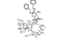 CC[C@H]1OC(=O)[C@H](C)[C@@H](O[C@H]2C[C@@](C)(OC)[C@@H](O)[C@H](C)O2)[C@H](C)[C@@H](O[C@@H]2O[C@H](C)C[C@H](N(C)C(=O)OCc3ccccc3)[C@H]2OC(=O)OCc2ccccc2)[C@@](C)(OC)C[C@@H](C)C(=O)[C@H](C)[C@@H](O)[C@]1(C)O